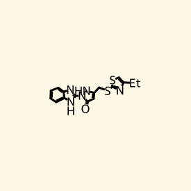 CCc1csc(SCc2cc(=O)n(-c3nc4ccccc4[nH]3)[nH]2)n1